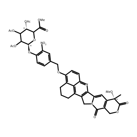 COC(=O)C1O[C@@H](Oc2ccc(COc3ccc4nc5c(c6c4c3CCC6)Cn3c-5cc4c(c3=O)COC(=O)[C@@]4(C)OC)cc2[N+](=O)[O-])C(OC(C)=O)C(OC(C)=O)[C@@H]1OC(C)=O